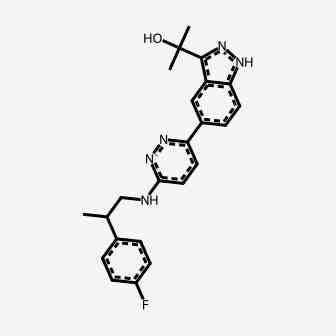 CC(CNc1ccc(-c2ccc3[nH]nc(C(C)(C)O)c3c2)nn1)c1ccc(F)cc1